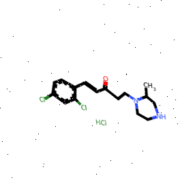 CC1CNCCN1CCC(=O)C=Cc1ccc(Cl)cc1Cl.Cl